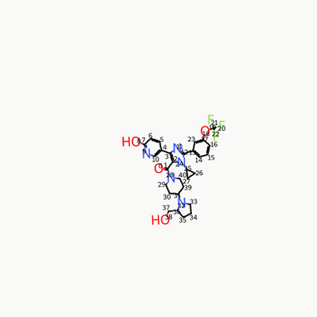 O=C(c1c(-c2ccc(O)nc2)nc(-c2cccc(OC(F)(F)F)c2)n1C1CC1)N1CCC(N2CCC[C@H]2CO)CC1